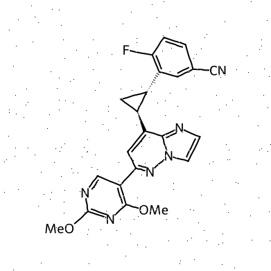 COc1ncc(-c2cc([C@H]3C[C@@H]3c3cc(C#N)ccc3F)c3nccn3n2)c(OC)n1